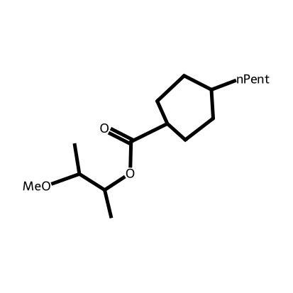 CCCCCC1CCC(C(=O)OC(C)C(C)OC)CC1